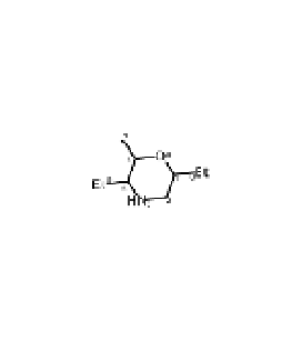 CCC1CNC(CC)C(C)O1